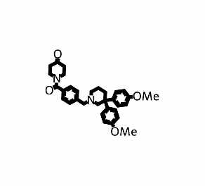 COc1ccc(C2(c3ccc(OC)cc3)CCCN(Cc3ccc(C(=O)N4CCC(=O)CC4)cc3)C2)cc1